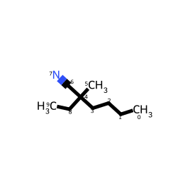 CCCCC(C)(C#N)CC